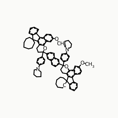 COc1ccc2c3c(c4c(c2c1)OC(c1ccc(N2CCCCC2)cc1)(c1ccc2cc(C5(c6ccc(N7CCCCC7)cc6)CCc6c7c(c8ccc(OC)cc8c6O5)-c5ccccc5C75CCCCCCC5)ccc2c1)CC4)C1(CCCCCCC1)c1ccccc1-3